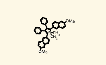 COc1ccc2cc(C3=C(c4ccccc4)C(c4ccccc4)=C(c4ccc5cc(OC)ccc5c4)[Si]3(C)C)ccc2c1